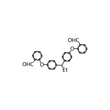 CCC(c1ccc(Oc2ccccc2C=O)cc1)c1ccc(Oc2ccccc2C=O)cc1